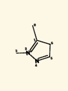 CC1=[N+](C)N=CC1